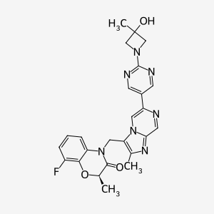 Cc1nc2cnc(-c3cnc(N4CC(C)(O)C4)nc3)cn2c1CN1C(=O)[C@@H](C)Oc2c(F)cccc21